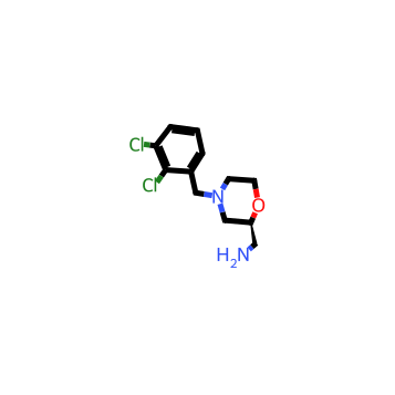 NC[C@H]1CN(Cc2cccc(Cl)c2Cl)CCO1